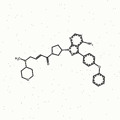 CN(C/C=C/C(=O)N1CCC(n2nc(-c3ccc(Oc4ccccc4)cc3)c3c(N)ncnc32)C1)C1CCOCC1